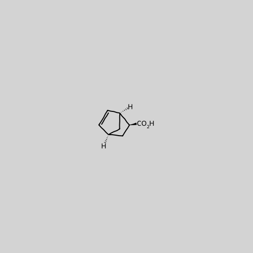 O=C(O)[C@H]1C[C@H]2C=C[C@@H]1C2